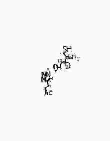 CC(=O)CCc1cn(CCOCCC(=O)C(C)CS)nn1